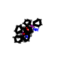 N=P(c1ccccc1)(c1ccccc1)c1ccccc1C(Oc1ccccc1)c1ccccc1P(=N)(c1ccccc1)c1ccccc1